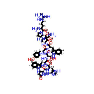 CC(C)C[C@H](NC(=O)[C@@H](Cc1c[nH]c2ccccc12)NC(=O)[C@@H](Cc1ccc(O)cc1)NC(=O)[C@@H](CO)NC(=O)[C@@H](Cc1c[nH]c2ccccc12)NC(=O)[C@@H](Cc1cnc[nH]1)NC(=O)[C@H]1CCC(=O)N1)C(=O)C(N)(C(N)=O)C(=O)[C@@H]1CCCN1C(=O)[C@@H](N)CCCNC(=N)N